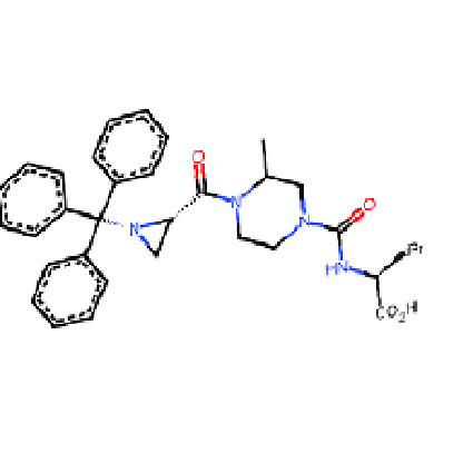 CC(C)[C@H](NC(=O)N1CCN(C(=O)[C@@H]2C[N@]2C(c2ccccc2)(c2ccccc2)c2ccccc2)C(C)C1)C(=O)O